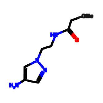 COCC(=O)NCCn1cc(N)cn1